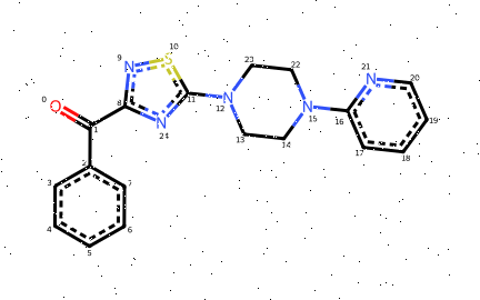 O=C(c1ccccc1)c1nsc(N2CCN(c3ccccn3)CC2)n1